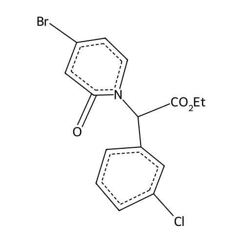 CCOC(=O)C(c1cccc(Cl)c1)n1ccc(Br)cc1=O